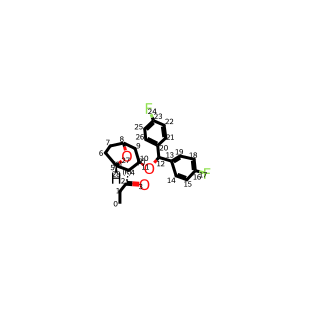 CCC(=O)[C@@H]1[C@@H]2CCC(C[C@H]1OC(c1ccc(F)cc1)c1ccc(F)cc1)O2